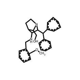 COc1ccccc1CNC1C2CCN(C2CO)C1C(c1ccccc1)c1ccccc1